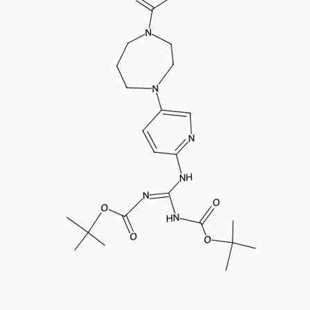 CC(=O)N1CCCN(c2ccc(NC(=NC(=O)OC(C)(C)C)NC(=O)OC(C)(C)C)nc2)CC1